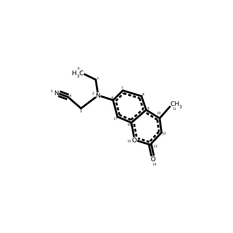 CCN(CC#N)c1ccc2c(C)cc(=O)oc2c1